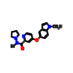 CCN(C(=O)c1cc(Oc2ccc3c(ccn3C(=O)O)c2)ccn1)N1CCCC1